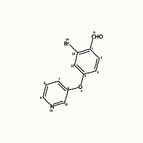 O=Cc1ccc(Oc2cccnc2)cc1Br